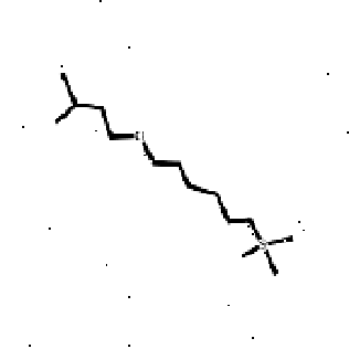 CC(C)CCOCCCCCCS(C)(C)C